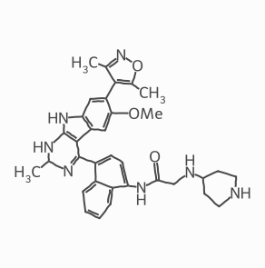 COc1cc2c3c([nH]c2cc1-c1c(C)noc1C)NC(C)N=C3c1ccc(NC(=O)CNC2CCNCC2)c2ccccc12